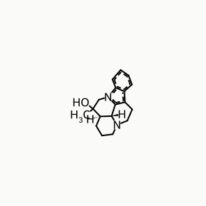 CC1(O)Cn2c3c(c4ccccc42)CCN2CCC[C@@H]1[C@H]32